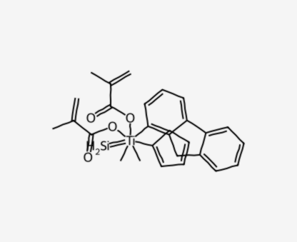 C=C(C)C(=O)[O][Ti]([CH3])([CH3])(=[SiH2])([O]C(=O)C(=C)C)([C]1=CC=CC1)[c]1cccc2c1Cc1ccccc1-2